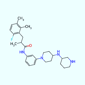 Cc1ccc(F)c(CC(C)C(=O)Nc2cccc(N3CCC(NC4CCCNC4)CC3)c2)c1C